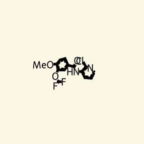 COc1ccc(C(=O)Nc2cccnc2Cl)cc1OC(F)F